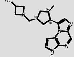 C[C@@H]1C[C@H](CN2CC(C#N)C2)C[C@@H]1c1cnc2cnc3[nH]ccc3n12